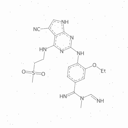 CCOc1cc(C(=N)N(C)C=N)ccc1Nc1nc(NCCS(C)(=O)=O)c2c(C#N)c[nH]c2n1